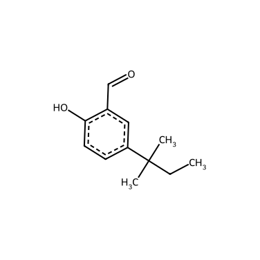 CCC(C)(C)c1ccc(O)c(C=O)c1